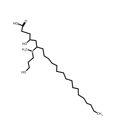 CCCCCCCCCCCCCCCCCC(CC(O)CCC(=O)O)N(C)CCCO